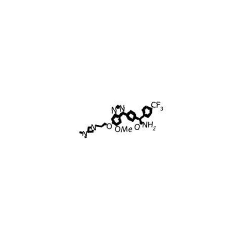 COc1cc2c(-c3ccc(C(C(N)=O)c4ccc(C(F)(F)F)cc4)cc3)ncnc2cc1OCCCN1CC(N(C)C)C1